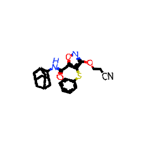 N#CCCOc1noc(C(=O)NC2C3CC4CC(C3)CC2C4)c1Sc1ccccc1